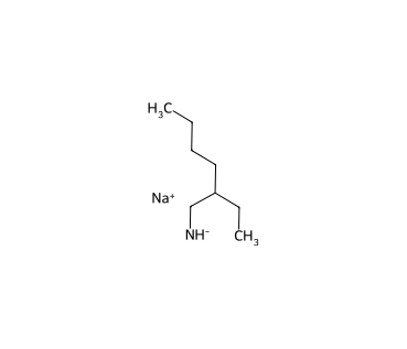 CCCCC(CC)C[NH-].[Na+]